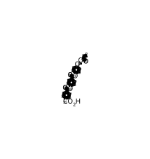 C=CC(=O)OCOC1CCC(OC(=O)C2CCC(OC(=O)C3CCC(C(=O)O)CC3)CC2)CC1